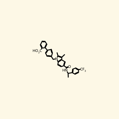 Cc1c(C)n(Cc2ccc(-c3ccccc3C(=O)O)cc2)c2ccc(C(=O)NC(C)c3ccc(C(F)(F)F)cc3)cc12